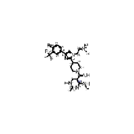 CCN(C)C/C(C(=N)N1CCC(c2nc(-c3ccc(F)c(C(F)(F)F)c3)cn2CCN(C)C)CC1)=C(\N)NC